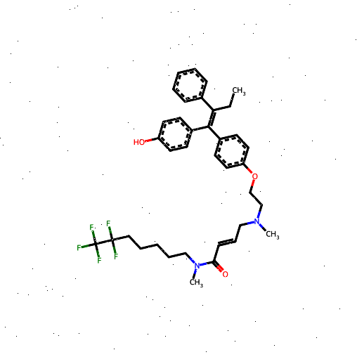 CCC(=C(c1ccc(O)cc1)c1ccc(OCCN(C)CC=CC(=O)N(C)CCCCCC(F)(F)C(F)(F)F)cc1)c1ccccc1